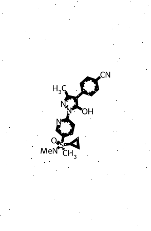 CNS(C)(=O)(c1ccc(-n2nc(C)c(-c3ccc(C#N)cc3)c2O)nc1)C1CC1